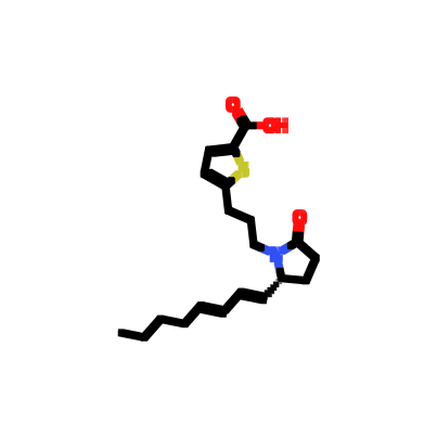 CCCC/C=C/C=C[C@H]1CCC(=O)N1CCCc1ccc(C(=O)O)s1